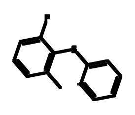 Cc1cccc(F)c1Sc1[c]cccc1